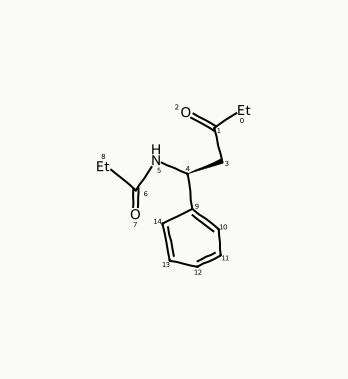 CCC(=O)C[C@H](NC(=O)CC)c1ccccc1